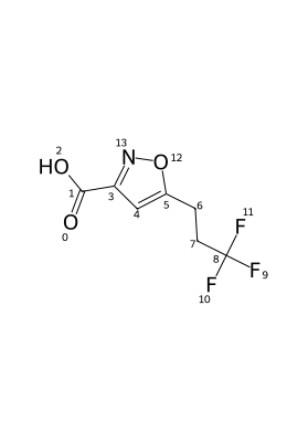 O=C(O)c1cc(CCC(F)(F)F)on1